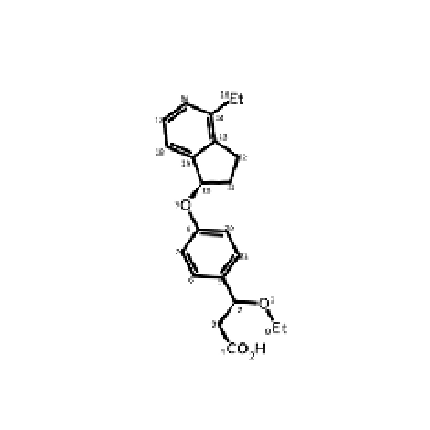 CCO[C@@H](CC(=O)O)c1ccc(O[C@@H]2CCc3c(CC)cccc32)cc1